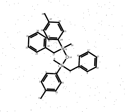 Cc1ccc([Si](C)(Cc2ccccc2)O[Si](C)(Cc2ccccc2)c2ccc(C)cc2)cc1